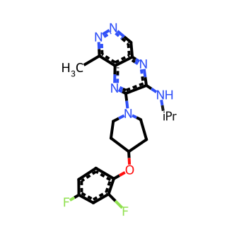 Cc1nncc2nc(NC(C)C)c(N3CCC(Oc4ccc(F)cc4F)CC3)nc12